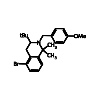 COc1ccc(CN2C(C(C)(C)C)Cc3c(Br)cccc3C2(C)C)cc1